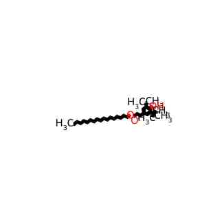 CCCCCCCCCCCCCCCCCCOC(=O)CCc1cc(C(C)C)c(O)c(C(C)(C)C)c1